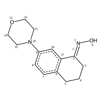 O/N=C1\CCCc2ccc(N3CCOCC3)cc21